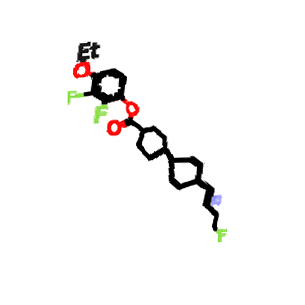 CCOc1ccc(OC(=O)C2CCC(C3CCC(/C=C/CCF)CC3)CC2)c(F)c1F